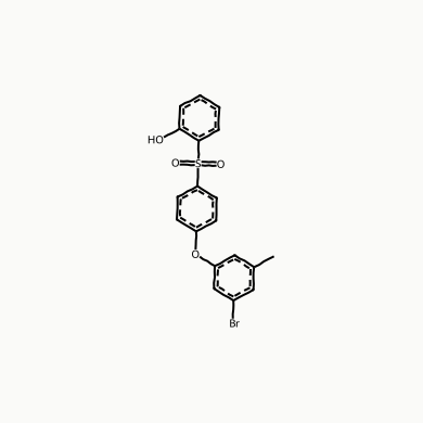 Cc1cc(Br)cc(Oc2ccc(S(=O)(=O)c3ccccc3O)cc2)c1